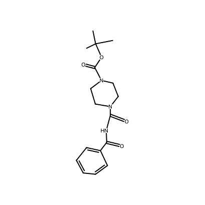 CC(C)(C)OC(=O)N1CCN(C(=O)NC(=O)c2ccccc2)CC1